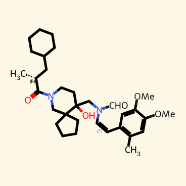 COc1cc(C)c(/C=C\N(C=O)CC2(O)CCN(C(=O)[C@H](C)CC3CCCCC3)CC23CCCC3)cc1OC